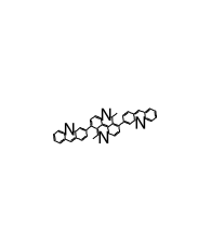 Cc1nc2ccc(-c3ccc4cc5ccccc5nc4c3)c3c(C)nc4ccc(-c5ccc6cc7ccccc7nc6c5)c1c4c23